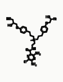 CCC(O)COc1ccc(CCC[N+](C)(CCCc2ccc(OCC(O)CO)cc2)CCNC(=O)c2nc(Cl)c(N)nc2N)cc1